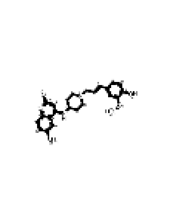 COc1cc(/C=C/CN2CCC(Nc3cc(=O)oc4ccc(C)cc34)CC2)ccc1O